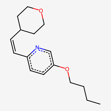 CCCCOc1ccc(/C=C\C2CCOCC2)nc1